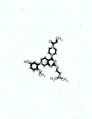 C=CC(=O)N1CCN(c2nc(OCCN(C)C)nc3c2CCN(c2cc(O)ccc2OC)C3)CC1